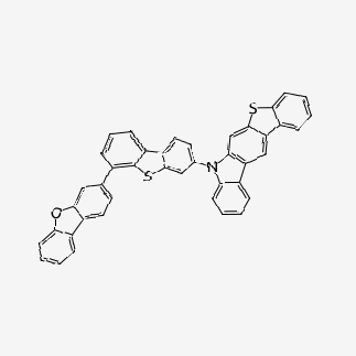 c1ccc2c(c1)oc1cc(-c3cccc4c3sc3cc(-n5c6ccccc6c6cc7c(cc65)sc5ccccc57)ccc34)ccc12